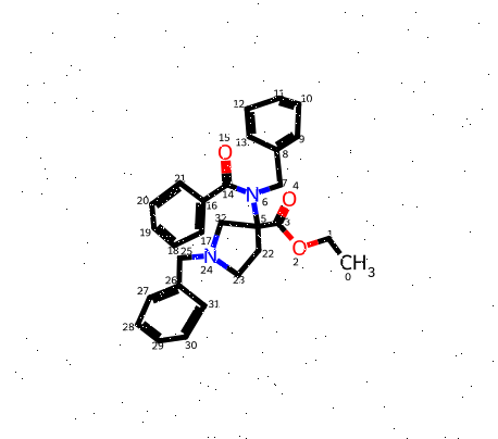 CCOC(=O)C1(N(Cc2ccccc2)C(=O)c2ccccc2)CCN(Cc2ccccc2)C1